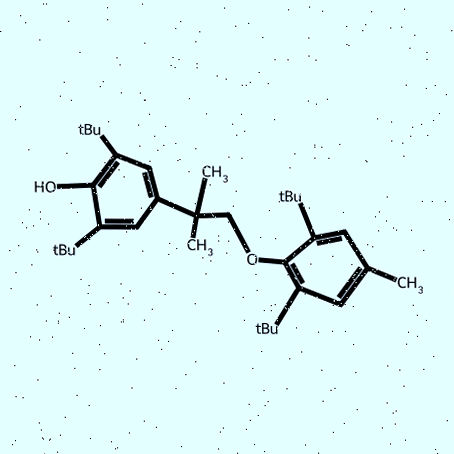 Cc1cc(C(C)(C)C)c(OCC(C)(C)c2cc(C(C)(C)C)c(O)c(C(C)(C)C)c2)c(C(C)(C)C)c1